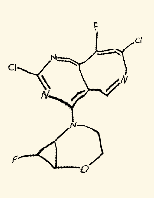 Fc1c(Cl)ncc2c(N3CCOC4C(F)C43)nc(Cl)nc12